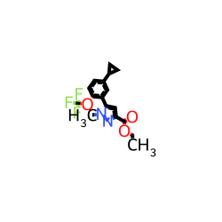 CCOC(=O)c1cc(-c2cc(C3CC3)ccc2OC(F)(F)F)n(C)n1